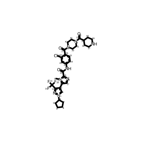 Cn1c(-c2cn(C3CCCC3)nc2C(F)(F)F)cnc1C(=O)Nc1ccc(C(=O)N2CCN(C(=O)C3CCNCC3)CC2)c(Cl)c1